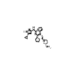 N[C@H]1CCN(C(=O)[C@@H]2CCCN2c2nc(Nc3cc(C4CC4)[nH]n3)n3cccc3n2)C1